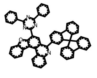 c1ccc(-c2nc(-c3ccccc3)nc(-c3cc4c(-c5ccc6c(c5)C5(c7ccccc7-c7ccccc75)c5ccccc5-6)nc5ccccc5c4c4c3oc3ccccc34)n2)cc1